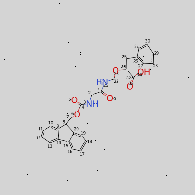 O=C(CNC(=O)OCC1c2ccccc2-c2ccccc21)NCOC(Cc1ccccc1)C(=O)O